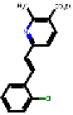 CCOC(=O)c1ccc(/C=C/c2ccccc2Cl)nc1C